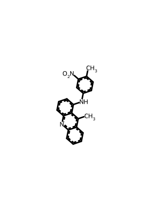 Cc1ccc(Nc2cccc3nc4ccccc4c(C)c23)cc1[N+](=O)[O-]